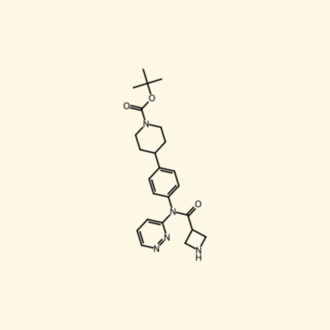 CC(C)(C)OC(=O)N1CCC(c2ccc(N(C(=O)C3CNC3)c3cccnn3)cc2)CC1